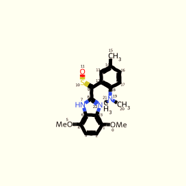 COc1ccc(OC)c2[nH]c(C(=S=O)c3cc(C)ccc3N(C)C)nc12